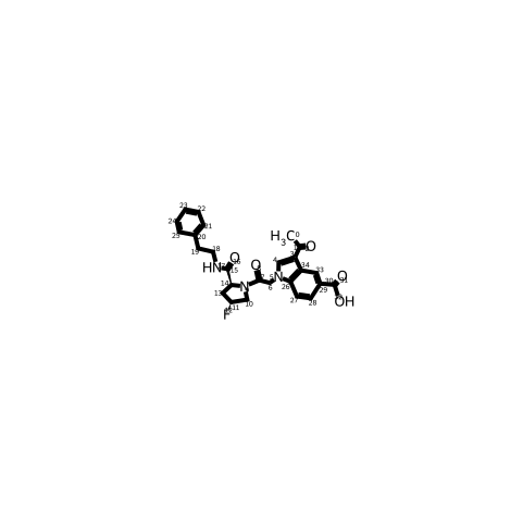 CC(=O)c1cn(CC(=O)N2C[C@H](F)C[C@H]2C(=O)NCCc2ccccc2)c2ccc(C(=O)O)cc12